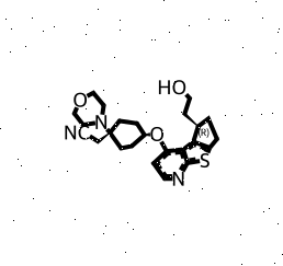 N#CC[C@]1(N2CCOCC2)CC[C@H](Oc2ccnc3sc4c(c23)[C@@H](CCO)CC4)CC1